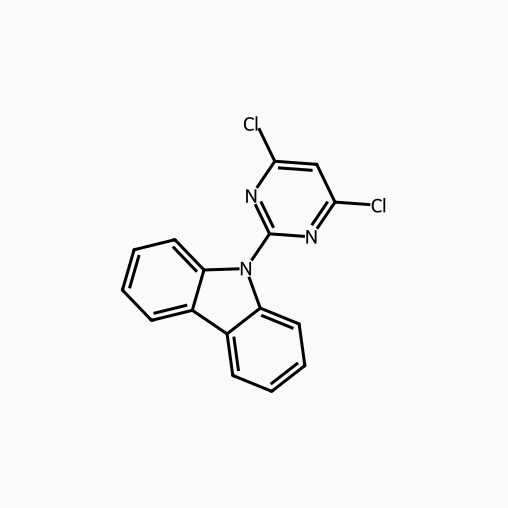 Clc1cc(Cl)nc(-n2c3ccccc3c3ccccc32)n1